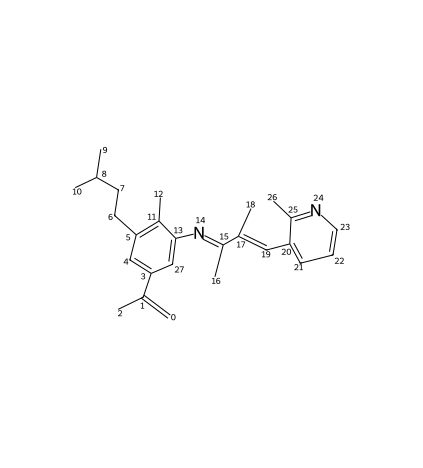 C=C(C)c1cc(CCC(C)C)c(C)c(/N=C(C)/C(C)=C/c2cccnc2C)c1